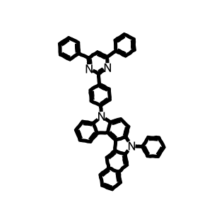 c1ccc(-c2cc(-c3ccccc3)nc(-c3ccc(-n4c5ccccc5c5c6c7cc8ccccc8cc7n(-c7ccccc7)c6ccc54)cc3)n2)cc1